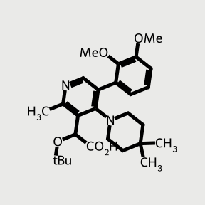 COc1cccc(-c2cnc(C)c(C(OC(C)(C)C)C(=O)O)c2N2CCC(C)(C)CC2)c1OC